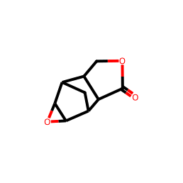 O=C1OCC2C3CC(C4OC34)C12